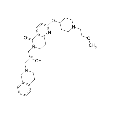 COCCN1CCC(Oc2ccc3c(n2)CCN(C[C@H](O)CN2CCc4ccccc4C2)C3=O)CC1